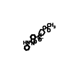 CC(=O)OC1CCN([S+]([O-])c2cccc3c(Nc4ccccc4)noc23)CC1